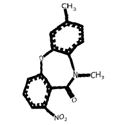 Cc1ccc2c(c1)Oc1cccc([N+](=O)[O-])c1C(=O)N2C